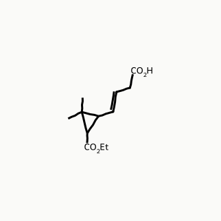 CCOC(=O)C1C(/C=C/CC(=O)O)C1(C)C